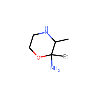 CCC1(N)OCCNC1C